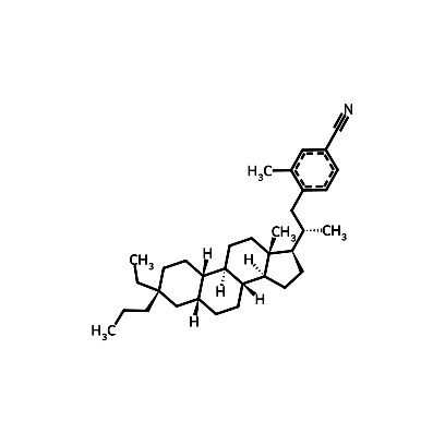 CCC[C@@]1(CC)CC[C@H]2[C@H](CC[C@@H]3[C@@H]2CC[C@]2(C)[C@@H]([C@@H](C)Cc4ccc(C#N)cc4C)CC[C@@H]32)C1